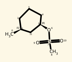 C[C@H]1CCC[C@@H](OS(C)(=O)=O)C1